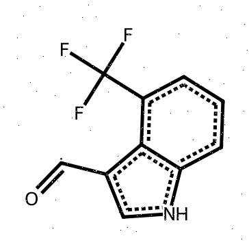 O=[C]c1c[nH]c2cccc(C(F)(F)F)c12